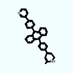 CC1=CC(c2ccc(-c3c4ccccc4c(-c4ccc(-c5cccnc5)cc4)c4ccccc34)cc2)=CCN1